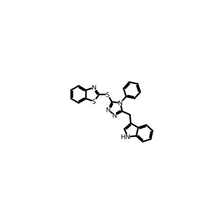 c1ccc(-n2c(Cc3c[nH]c4ccccc34)nnc2Sc2nc3ccccc3s2)cc1